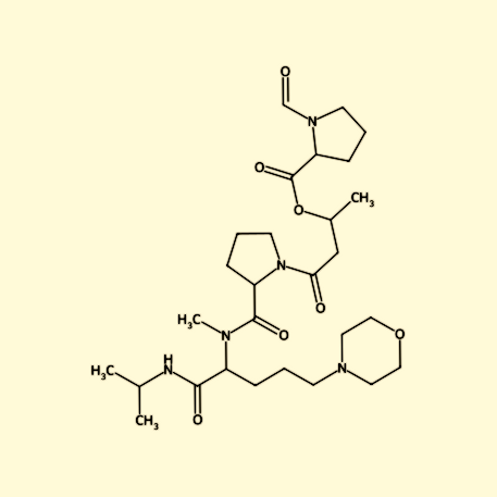 CC(C)NC(=O)C(CCCN1CCOCC1)N(C)C(=O)C1CCCN1C(=O)CC(C)OC(=O)C1CCCN1C=O